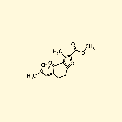 COC(=O)c1oc2c(c1C)C(=O)C(=CN(C)C)CC2